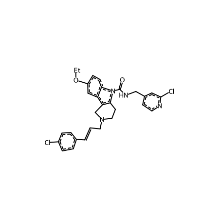 CCOc1ccc2c(c1)c1c(n2C(=O)NCc2ccnc(Cl)c2)CCN(C/C=C/c2ccc(Cl)cc2)C1